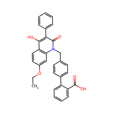 CCOc1ccc2c(O)c(-c3ccccc3)c(=O)n(Cc3ccc(-c4ccccc4C(=O)O)cc3)c2c1